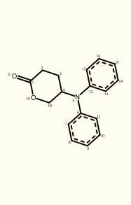 O=C1CCC(N(c2ccccc2)c2ccccc2)CO1